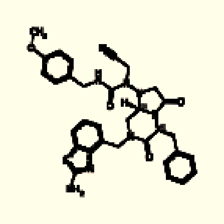 COc1ccc(CNC(=O)N(CC#N)N2CC(=O)N3[C@@H](Cc4ccccc4)C(=O)N(Cc4cccc5sc(N)nc45)C[C@@H]32)cc1